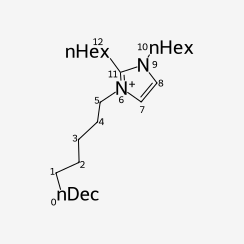 CCCCCCCCCCCCCCC[n+]1ccn(CCCCCC)c1CCCCCC